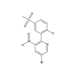 CS(=O)(=O)c1ccc(F)c(-c2ncc(Br)cc2[N+](=O)[O-])c1